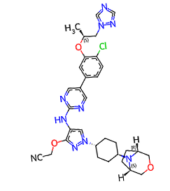 C[C@@H](Cn1cncn1)Oc1cc(-c2cnc(Nc3cn([C@H]4CC[C@H](N5[C@@H]6CC[C@H]5COC6)CC4)nc3OCC#N)nc2)ccc1Cl